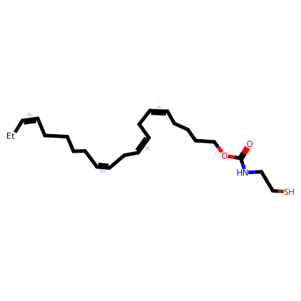 CC/C=C\CCCC/C=C\C/C=C\C/C=C\CCCCOC(=O)NCCS